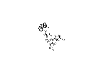 CCCCOCCN1CCC(=C(c2cccs2)c2cccs2)CC1